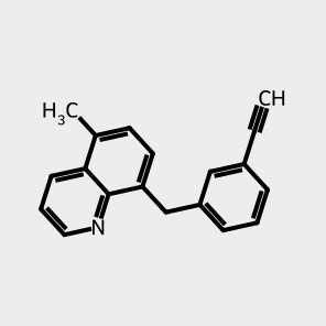 C#Cc1cccc(Cc2ccc(C)c3cccnc23)c1